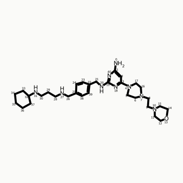 Nc1cc(N2CCN(CCN3CCOCC3)CC2)nc(NCc2ccc(CNCCCNC3CCCCC3)cc2)n1